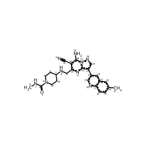 CNC(=O)N1CCC(NCc2nc3c(-c4cnc5ccc(C)cc5c4)cnn3c(N)c2C#N)CC1